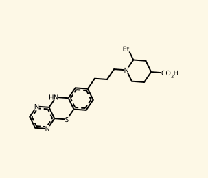 CCC1CC(C(=O)O)CCN1CCCc1ccc2c(c1)Nc1nccnc1S2